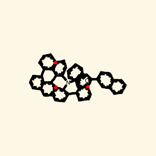 c1ccc(-c2cccc3cccc(-c4ccccc4N(c4ccc(-c5ccc6ccccc6c5)cc4)c4ccccc4-c4cccc5oc6ccccc6c45)c23)cc1